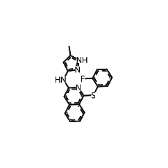 Cc1cc(Nc2cc3ccccc3c(Sc3ccccc3F)n2)n[nH]1